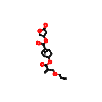 C=CCOCC(=C)C(=O)OC1CC2CC1CC2C(=O)OC1COC(=O)C1